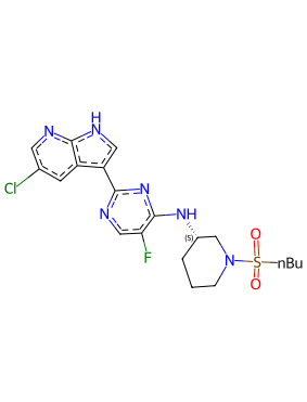 CCCCS(=O)(=O)N1CCC[C@H](Nc2nc(-c3c[nH]c4ncc(Cl)cc34)ncc2F)C1